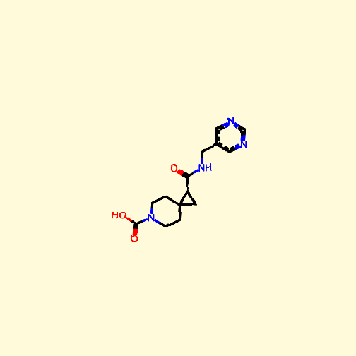 O=C(NCc1cncnc1)[C@H]1CC12CCN(C(=O)O)CC2